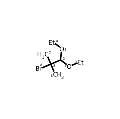 CCOC(OCC)C(C)(C)Br